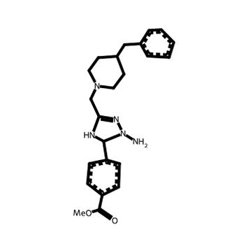 COC(=O)c1ccc(C2NC(CN3CCC(Cc4ccccc4)CC3)=NN2N)cc1